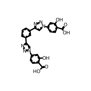 O=C(O)c1ccc(-n2cc(-c3cccc(-c4cn(-c5ccc(C(=O)O)c(O)c5)nn4)c3)nn2)cc1O